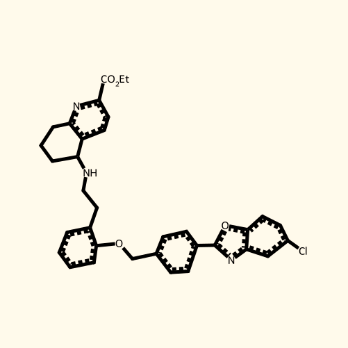 CCOC(=O)c1ccc2c(n1)CCCC2NCCc1ccccc1OCc1ccc(-c2nc3cc(Cl)ccc3o2)cc1